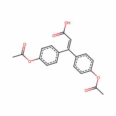 CC(=O)Oc1ccc(C(=CC(=O)O)c2ccc(OC(C)=O)cc2)cc1